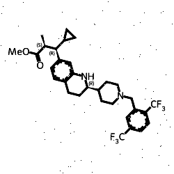 COC(=O)[C@@H](C)[C@H](c1ccc2c(c1)N[C@@H](C1CCN(Cc3cc(C(F)(F)F)ccc3C(F)(F)F)CC1)CC2)C1CC1